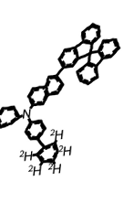 [2H]c1c([2H])c([2H])c(-c2ccc(N(c3ccccc3)c3ccc4cc(-c5ccc6c(c5)C5(c7ccccc7-c7ccccc75)c5ccccc5-6)ccc4c3)cc2)c([2H])c1[2H]